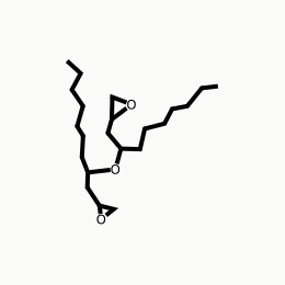 CCCCCCCC(CC1CO1)OC(CCCCCCC)CC1CO1